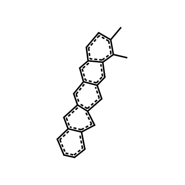 Cc1ccc2cc3cc4cc5ccccc5cc4cc3cc2c1C